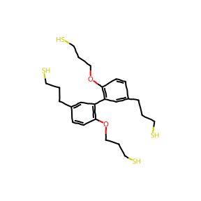 SCCCOc1ccc(CCCS)cc1-c1cc(CCCS)ccc1OCCCS